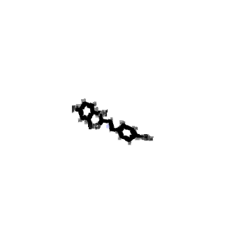 CC(C)(C)c1ccc(/C=C/C(=O)Nc2ccc(F)cc2Br)cc1